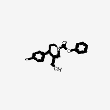 O=C(Oc1ccccc1)N1CCC(c2ccc(F)cc2)C(CO)C1